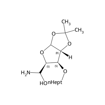 CCCCCCCO[C@H]1[C@@H](C(N)O)OC2OC(C)(C)O[C@@H]21